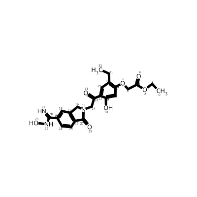 CCOC(=O)COc1cc(O)c(C(=O)CN2Cc3cc(C(=N)NO)ccc3C2=O)cc1CC